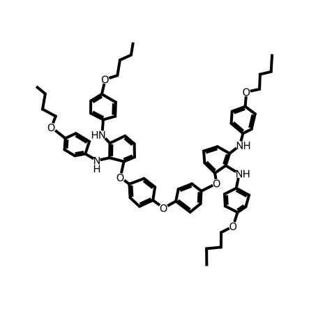 CCCCOc1ccc(Nc2cccc(Oc3ccc(Oc4ccc(Oc5cccc(Nc6ccc(OCCCC)cc6)c5Nc5ccc(OCCCC)cc5)cc4)cc3)c2Nc2ccc(OCCCC)cc2)cc1